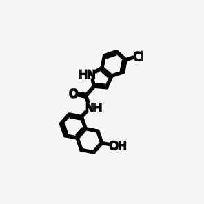 O=C(Nc1cccc2c1CC(O)CC2)c1cc2cc(Cl)ccc2[nH]1